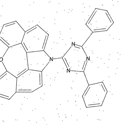 c1ccc(-c2nc(-c3ccccc3)nc(-n3c4ccc5cccc6oc7cccc8ccc3c(c87)c4c56)n2)cc1